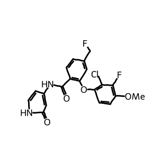 COc1ccc(Oc2cc(CF)ccc2C(=O)Nc2cc[nH]c(=O)c2)c(Cl)c1F